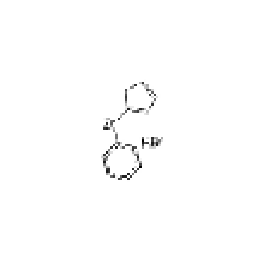 Br.C1=CC[C]([Zr][c]2ccccc2)=C1